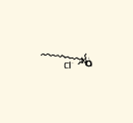 CCCCCCCCCCCCCCCCCC[N+](CCC)(CCC)c1ccccc1.[Cl-]